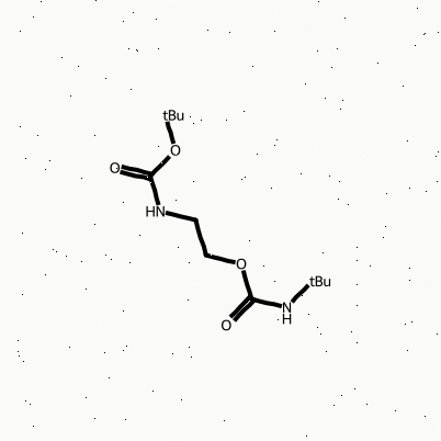 CC(C)(C)NC(=O)OCCNC(=O)OC(C)(C)C